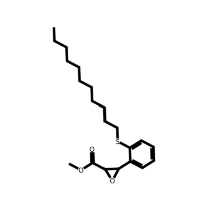 CCCCCCCCCCCSc1ccccc1C1OC1C(=O)OC